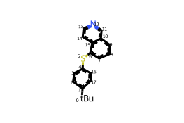 CC(C)(C)c1ccc(Sc2cccc3cnccc23)cc1